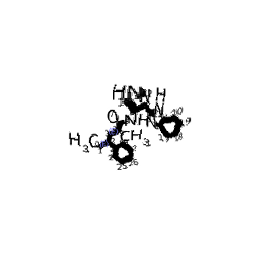 C/C=C(\C=C(/C)C(=O)Nc1c[nH]nc1-c1nc2ccccc2[nH]1)c1ccccc1